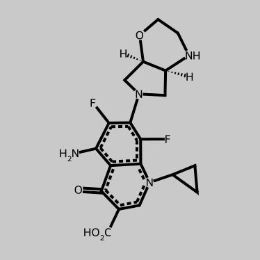 Nc1c(F)c(N2C[C@@H]3NCCO[C@@H]3C2)c(F)c2c1c(=O)c(C(=O)O)cn2C1CC1